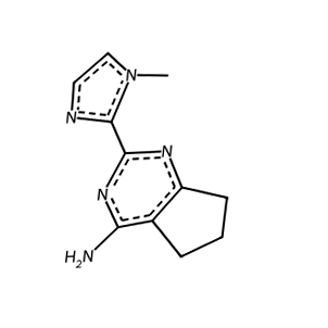 Cn1ccnc1-c1nc(N)c2c(n1)CCC2